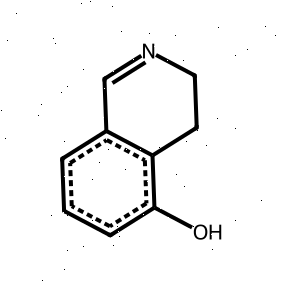 Oc1cccc2c1CCN=C2